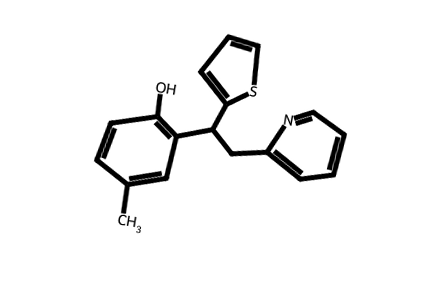 Cc1ccc(O)c(C(Cc2ccccn2)c2cccs2)c1